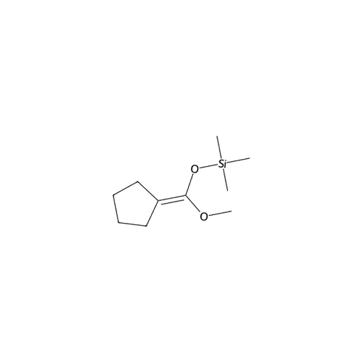 COC(O[Si](C)(C)C)=C1CCCC1